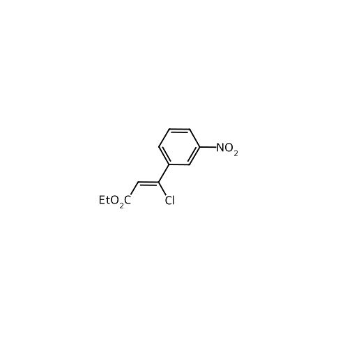 CCOC(=O)C=C(Cl)c1cccc([N+](=O)[O-])c1